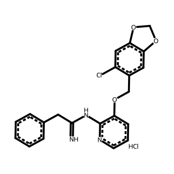 Cl.N=C(Cc1ccccc1)Nc1ncccc1OCc1cc2c(cc1Cl)OCO2